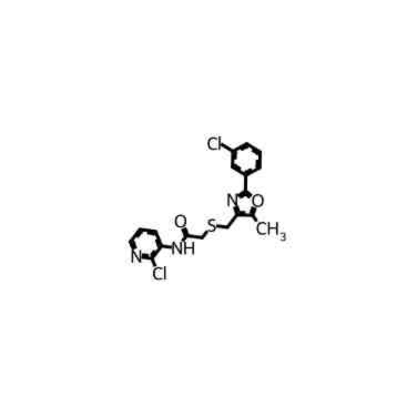 Cc1oc(-c2cccc(Cl)c2)nc1CSCC(=O)Nc1cccnc1Cl